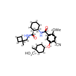 COc1cc(C#N)c(O[C@H]2CC[C@@](C)(C(=O)O)CC2)cc1C(=O)N[C@@H]1CCCC[C@@H]1C(=O)NCC1(C)CCC1